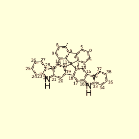 c1ccc2c(c1)-c1ccccc1C21c2cc3c(cc2-c2cc4[nH]c5ccccc5c4cc21)[nH]c1ccccc13